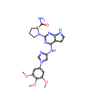 COc1cc(-n2cnc(Nc3nc(N4CCC[C@H]4C(N)=O)nc4[nH]ccc34)c2)cc(OC)c1OC